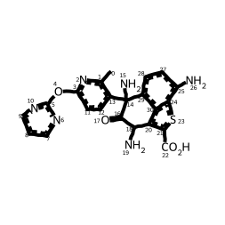 Cc1nc(Oc2ncccn2)ccc1C1(N)C(=O)C(N)c2c(C(=O)O)sc3c(N)ccc1c23